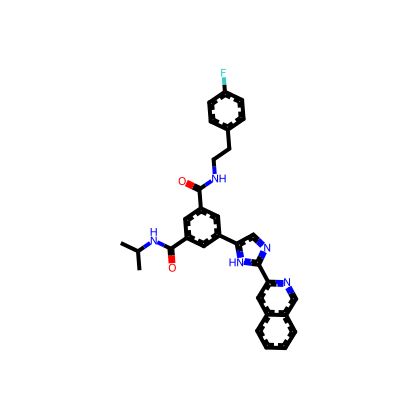 CC(C)NC(=O)c1cc(C(=O)NCCc2ccc(F)cc2)cc(-c2cnc(-c3cc4ccccc4cn3)[nH]2)c1